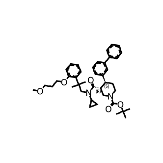 COCCCOc1ccccc1C(C)(C)CN(C(=O)[C@H]1CN(C(=O)OC(C)(C)C)CC[C@@H]1c1cccc(-c2ccccc2)c1)C1CC1